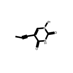 CC#Cc1cn(C(C)C)c(=O)[nH]c1=O